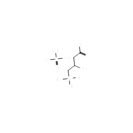 C[N+](C)(C)CC(O)CC(=O)[O-].O=P(O)(O)O